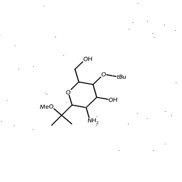 COC(C)(C)C1OC(CO)C(OC(C)(C)C)C(O)C1N